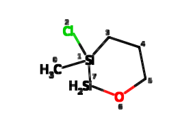 C[Si]1(Cl)CCCO[SiH2]1